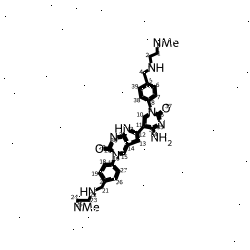 CNCCNCc1ccc(-n2cc(-c3cc4cn(-c5ccc(CNCCNC)cc5)c(=O)nc4[nH]3)c(N)nc2=O)cc1